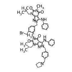 CC(C)Cn1c(=O)n(C)c(=O)c2c(Nc3ccccc3)n(Cc3ccc(CBr)cc3)nc21.CC(C)Cn1c(=O)n(C)c(=O)c2c(Nc3ccccc3)n(Cc3ccc(CN4CCCC4)cc3)nc21